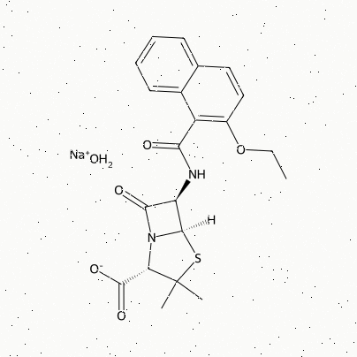 CCOc1ccc2ccccc2c1C(=O)N[C@@H]1C(=O)N2[C@@H]1SC(C)(C)[C@@H]2C(=O)[O-].O.[Na+]